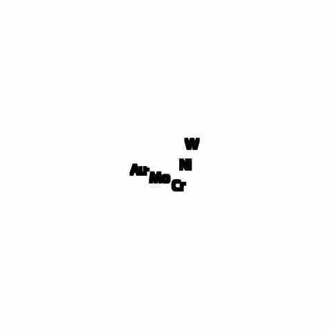 [Au].[Cr].[Mo].[Ni].[W]